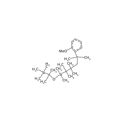 COc1ccccc1C(C)(C)CC(C)(C)C(C)(C)[Si](C)(C)OC(C)(C)[Si](C)(C)C